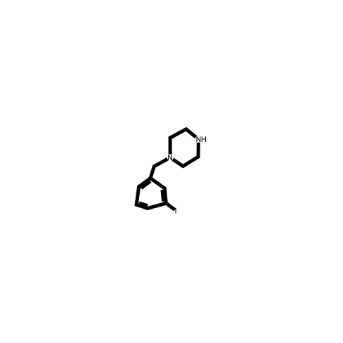 Ic1cccc(CN2CCNCC2)c1